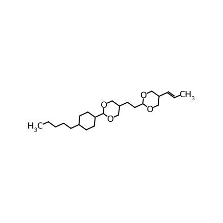 CC=CC1COC(CCC2COC(C3CCC(CCCCC)CC3)OC2)OC1